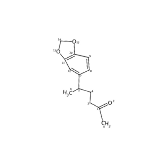 CC(=O)[CH]CC(C)c1ccc2c(c1)OCO2